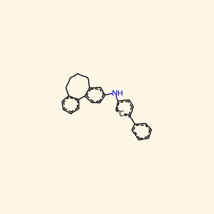 c1ccc(-c2ccc(Nc3ccc4c(c3)CCCCc3ccccc3-4)cc2)cc1